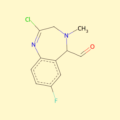 CN1CC(Cl)=Nc2ccc(F)cc2C1C=O